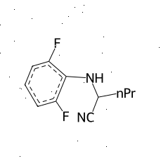 CCCC(C#N)Nc1c(F)cccc1F